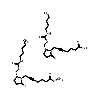 CCCCCNC(=O)OC[C@H]1CCC(=O)N1CC#CCCCC(=O)O.CCCCCNC(=O)OC[C@H]1CCC(=O)N1CC#CCCCC(=O)OC